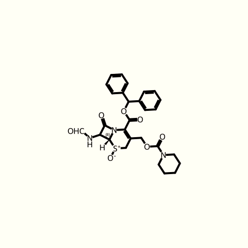 O=CNC1C(=O)N2C(C(=O)OC(c3ccccc3)c3ccccc3)=C(COC(=O)N3CCCCC3)C[S+]([O-])[C@H]12